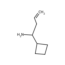 C=CCC(N)C1CCC1